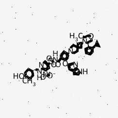 CC1COC[C@@H](c2ccccc2C2CC2)N1C1CC2(CCN(c3ccc(C(=O)NS(=O)(=O)c4cnc(NC[C@H]5CC[C@](C)(O)CC5)c([N+](=O)[O-])c4)c(Oc4cnc5[nH]ccc5c4)c3)CC2)C1